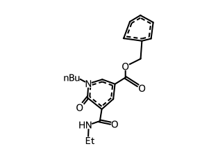 CCCCn1cc(C(=O)OCc2ccccc2)cc(C(=O)NCC)c1=O